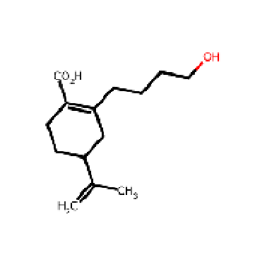 C=C(C)C1CCC(C(=O)O)=C(CCCCO)C1